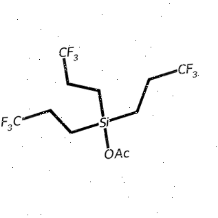 CC(=O)O[Si](CCC(F)(F)F)(CCC(F)(F)F)CCC(F)(F)F